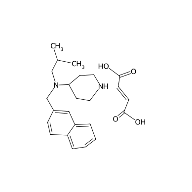 CC(C)CN(Cc1ccc2ccccc2c1)C1CCNCC1.O=C(O)C=CC(=O)O